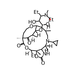 CCO[C@@H](O[C@@H]1[C@@H](C)C(=O)[C@]2(C)CCO[C@@]1(C)C[C@@H](C)CN(C1CC1)[C@H](C)[C@H]1NC(=O)O[C@]1(C)[C@@H](CC)OC2=O)C(O)C(CC)N(C)C